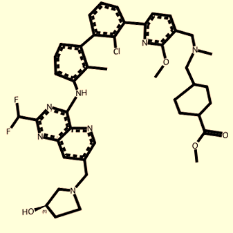 COC(=O)C1CCC(CN(C)Cc2ccc(-c3cccc(-c4cccc(Nc5nc(C(F)F)nc6cc(CN7CC[C@@H](O)C7)cnc56)c4C)c3Cl)nc2OC)CC1